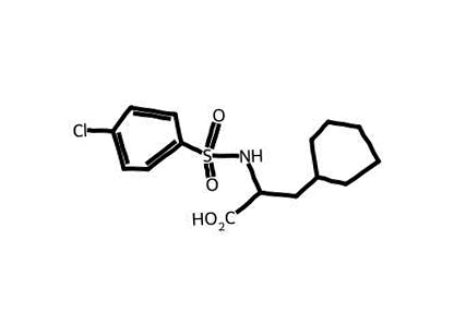 O=C(O)C(CC1CCCCC1)NS(=O)(=O)c1ccc(Cl)cc1